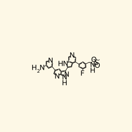 CS(=O)(=O)NCc1cc(F)cc(-c2cncc3[nH]c(-c4n[nH]c5ncc(-c6cncc(N)c6)cc45)cc23)c1